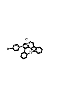 Clc1ccccc1-c1c2c3[nH]c4ccccc4c3cc[n+]2cn1-c1ccc(Br)cc1.[Cl-]